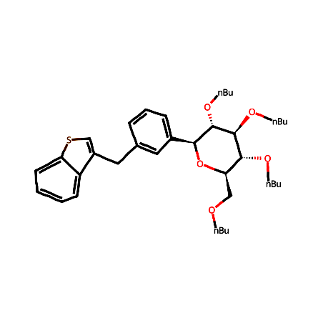 CCCCOC[C@H]1O[C@@H](c2cccc(Cc3csc4ccccc34)c2)[C@H](OCCCC)[C@@H](OCCCC)[C@@H]1OCCCC